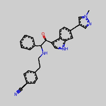 Cn1cc(-c2ccc3c(C(=O)C(NCCc4ccc(C#N)cc4)c4ccccc4)c[nH]c3c2)cn1